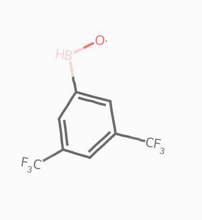 [O]Bc1cc(C(F)(F)F)cc(C(F)(F)F)c1